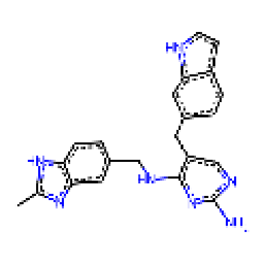 Cc1nc2cc(CNc3nc(N)ncc3Cc3ccc4cc[nH]c4c3)ccc2[nH]1